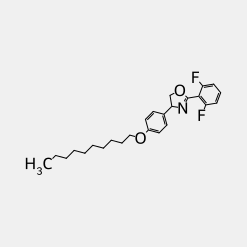 CCCCCCCCCCOc1ccc(C2COC(c3c(F)cccc3F)=N2)cc1